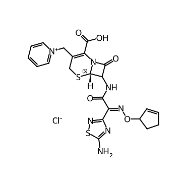 Nc1nc(C(=NOC2C=CCC2)C(=O)NC2C(=O)N3C(C(=O)O)=C(C[n+]4ccccc4)CS[C@@H]23)ns1.[Cl-]